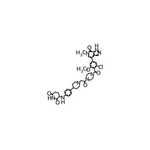 COc1cc(-c2cn(C)c(=O)c3[nH]ncc23)cc(Cl)c1C(=O)N1CCN(C(=O)CN2CCC(c3ccc(NC4CCC(=O)NC4=O)cc3)CC2)CC1